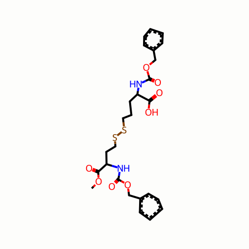 COC(=O)C(CCSSCCCC(NC(=O)OCc1ccccc1)C(=O)O)NC(=O)OCc1ccccc1